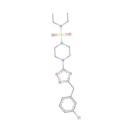 CCN(CC)S(=O)(=O)N1CCN(c2nc(Cc3cccc(Cl)c3)no2)CC1